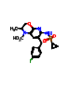 CC1COc2nc(NS(=O)(=O)C3CC3)c(Cc3ccc(F)cc3)cc2N1C(=O)O